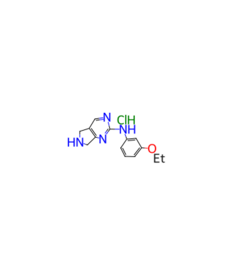 CCOc1cccc(Nc2ncc3c(n2)CNC3)c1.Cl